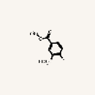 CCCCOC(=O)c1ccc(F)c(C(=O)OCC)c1